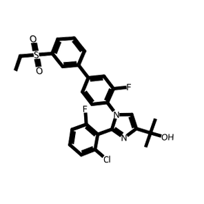 CCS(=O)(=O)c1cccc(-c2ccc(-n3cc(C(C)(C)O)nc3-c3c(F)cccc3Cl)c(F)c2)c1